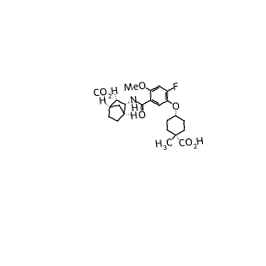 COc1cc(F)c(O[C@H]2CC[C@@](C)(C(=O)O)CC2)cc1C(=O)N[C@@H]1[C@H]2CC[C@H](C2)[C@@H]1C(=O)O